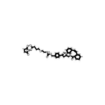 O=C(CCCOCCNC(=O)OCc1ccc(C2=NOC(CN3C(=O)c4ccccc4C#Cc4ccccc43)C2)cc1)ON1C(=O)CCC1=O